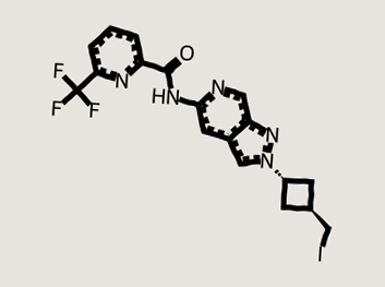 O=C(Nc1cc2cn([C@H]3C[C@H](CI)C3)nc2cn1)c1cccc(C(F)(F)F)n1